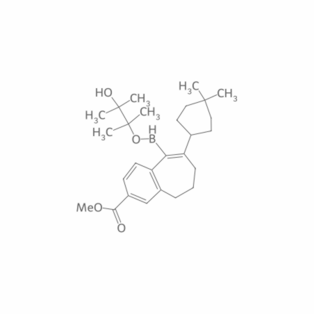 COC(=O)c1ccc2c(c1)CCCC(C1CCC(C)(C)CC1)=C2BOC(C)(C)C(C)(C)O